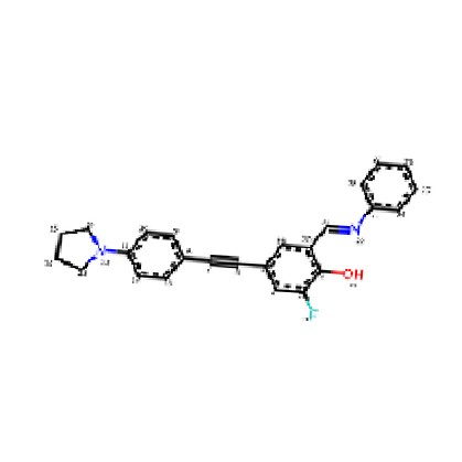 Oc1c(F)cc(C#Cc2ccc(N3CCCC3)cc2)cc1C=Nc1ccccc1